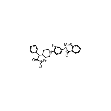 CCN(CC)C(=O)C(c1ccccc1)C1CCN(c2ccc(NC(=O)c3ccccc3SC)cc2F)CC1